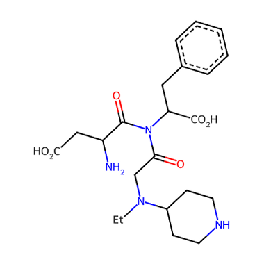 CCN(CC(=O)N(C(=O)C(N)CC(=O)O)C(Cc1ccccc1)C(=O)O)C1CCNCC1